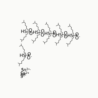 CC(C)CCCCCC(S)(CCCCCC(C)C)C(=O)[O-].CC(C)CCCCCC(S)(CCCCCC(C)C)C(=O)[O-].CC(C)CCCCCC(S)(CCCCCC(C)C)C(=O)[O-].CC(C)CCCCCC(S)(CCCCCC(C)C)C(=O)[O-].CC(C)CCCCCC(S)(CCCCCC(C)C)C(=O)[O-].CC(C)CCCCCC(S)(CCCCCC(C)C)C(=O)[O-].[CH3][Sn+2].[CH3][Sn+2].[S-2].[S-2]